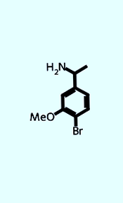 COc1cc(C(C)N)ccc1Br